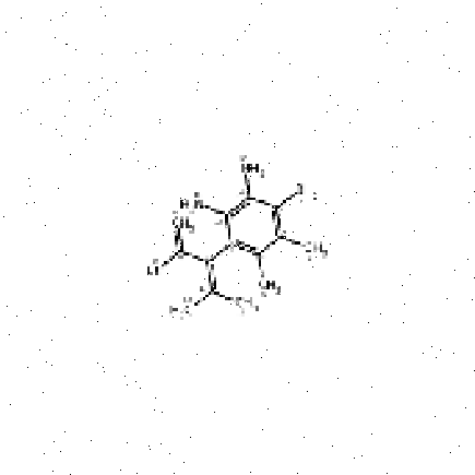 Bc1c(C)c(C)c(C(C(=C)CC)=C(C)C)c(N)c1N